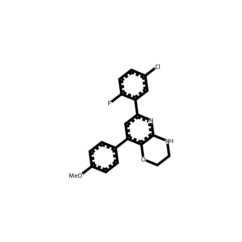 COc1ccc(-c2cc(-c3cc(Cl)ccc3F)nc3c2OCCN3)cc1